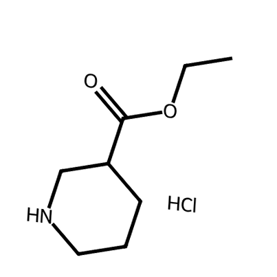 CCOC(=O)C1CCCNC1.Cl